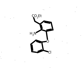 CCOC(=O)Cc1cccc(Oc2ccccc2Cl)c1N